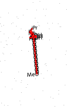 COCCOCCOCCOCCOCCOCCOCCOCCOCCOCCOCCOCCOCCOCCOCCOCCOCCOCCC(C(=O)NC12CC3CC(CC(C3)C1)C2)N(C(=O)C1O[C@@H](O)[C@@H](O)[C@H](O)[C@@H]1O)C1CC[C@@]2(C)C(=CC[C@H]3[C@@H]4CC[C@H]([C@H](C)CCCC(C)C)[C@@]4(C)CC[C@@H]32)C1